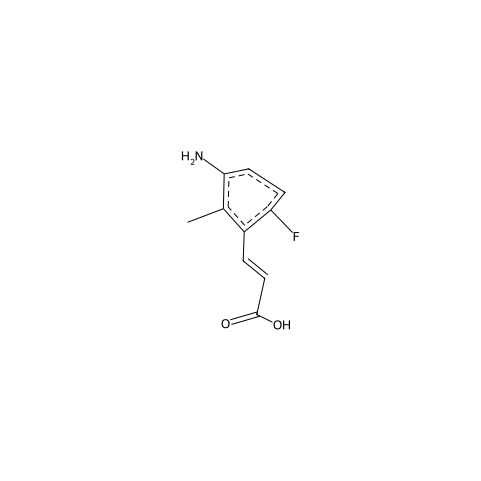 Cc1c(N)ccc(F)c1/C=C/C(=O)O